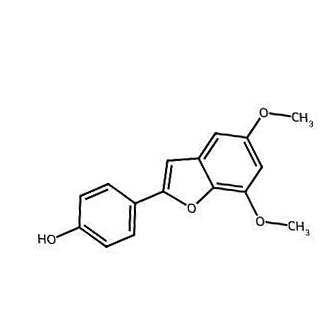 COc1cc(OC)c2oc(-c3ccc(O)cc3)cc2c1